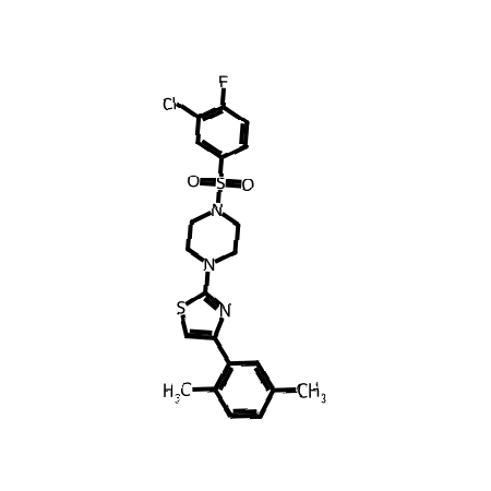 Cc1ccc(C)c(-c2csc(N3CCN(S(=O)(=O)c4ccc(F)c(Cl)c4)CC3)n2)c1